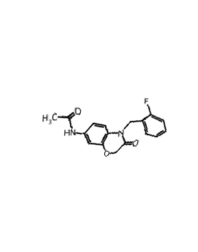 CC(=O)Nc1ccc2c(c1)OCC(=O)N2Cc1ccccc1F